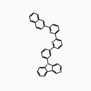 c1cc(-c2cccc(-c3cccc(-c4ccc5ccccc5c4)n3)n2)cc(-n2c3ccccc3c3cnccc32)c1